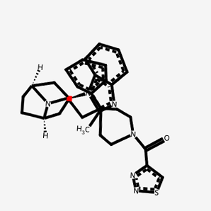 Cc1nc2ccccc2n1[C@H]1C[C@H]2CC[C@@H](C1)N2CCC1(c2ccccc2)CCN(C(=O)c2csnn2)CC1